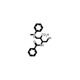 CC(C)CC(NC(=O)c1ccccc1)C(C[SiH](C)c1ccccc1)C(=O)O